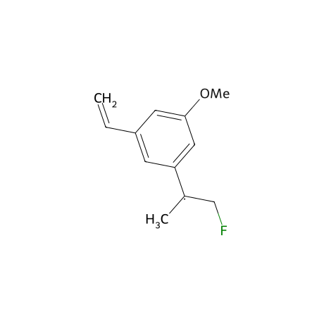 C=Cc1cc(OC)cc([C](C)CF)c1